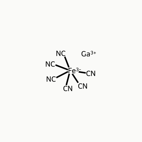 N#[C][Fe-3]([C]#N)([C]#N)([C]#N)([C]#N)[C]#N.[Ga+3]